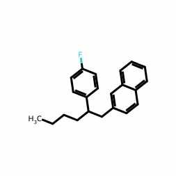 CCCCC(Cc1ccc2ccccc2c1)c1ccc(F)cc1